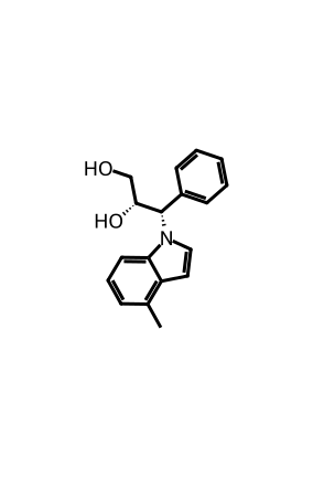 Cc1cccc2c1ccn2[C@@H](c1ccccc1)[C@H](O)CO